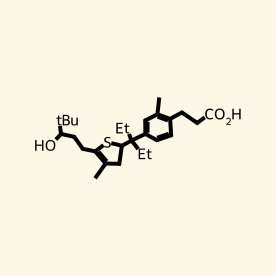 CCC(CC)(c1ccc(CCC(=O)O)c(C)c1)C1CC(C)=C(CCC(O)C(C)(C)C)S1